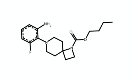 CCCCOC(=O)N1CCC12CCN(c1c(N)cccc1F)CC2